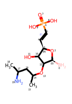 B[C@@H]1O[C@H](/C=C/P(=O)(O)O)C(O)C1OC(C)CC(C)N